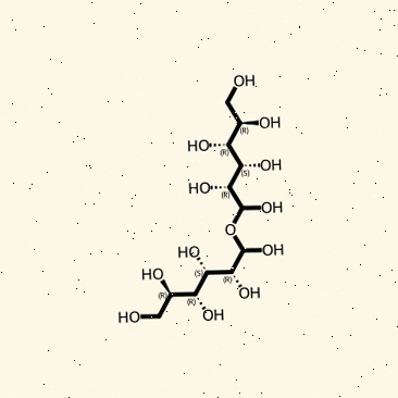 OC[C@@H](O)[C@@H](O)[C@H](O)[C@@H](O)C(O)OC(O)[C@H](O)[C@@H](O)[C@H](O)[C@H](O)CO